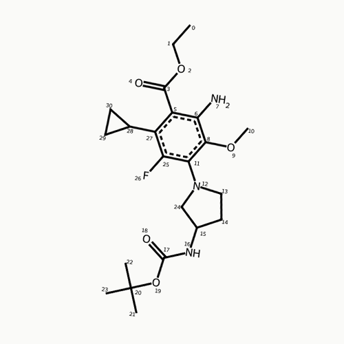 CCOC(=O)c1c(N)c(OC)c(N2CCC(NC(=O)OC(C)(C)C)C2)c(F)c1C1CC1